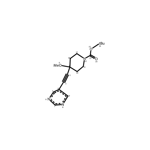 COC1(C#Cc2cncnc2)CCN(C(=O)OC(C)(C)C)CC1